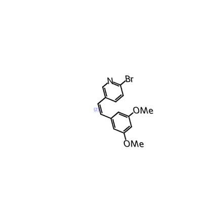 COc1cc(/C=C\c2ccc(Br)nc2)cc(OC)c1